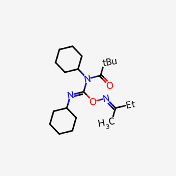 CCC(C)=NOC(=NC1CCCCC1)N(C(=O)C(C)(C)C)C1CCCCC1